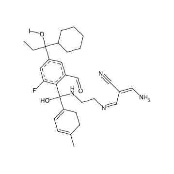 CCC(OI)(c1cc(F)c(C(O)(NCC/N=C\C(C#N)=C/N)C2=CC=C(C)CC2)c(C=O)c1)C1CCCCC1